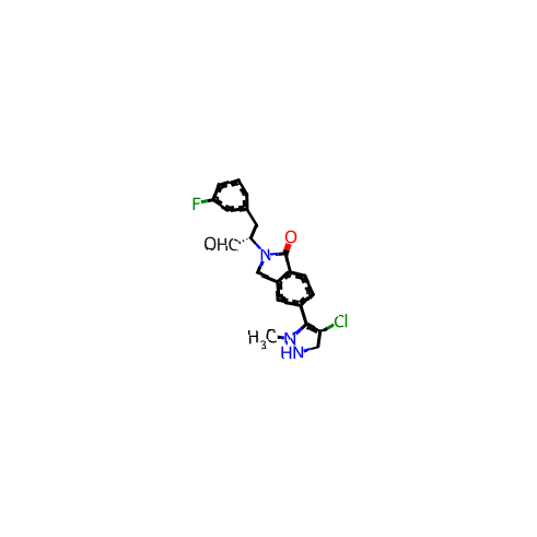 CN1NCC(Cl)=C1c1ccc2c(c1)CN([C@H](C=O)Cc1cccc(F)c1)C2=O